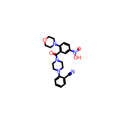 N#Cc1ccccc1N1CCN(C(=O)c2cc([N+](=O)O)ccc2N2CCOCC2)CC1